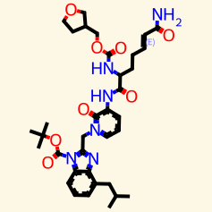 CC(C)Cc1cccc2c1nc(Cn1cccc(NC(=O)C(CC/C=C/C(N)=O)NC(=O)OCC3CCOC3)c1=O)n2C(=O)OC(C)(C)C